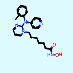 Cc1ccccc1N(c1ccncc1)C1N=CC=CN1CCCCCCC(=O)NO